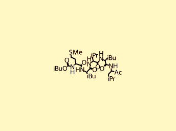 CCC(C)C(NC(=O)C(CCSC)NC(=O)OCC(C)C)C(=O)NC(C(=O)NC(C(=O)NC(CC(C)C)C(C)=O)C(C)CC)C(C)C